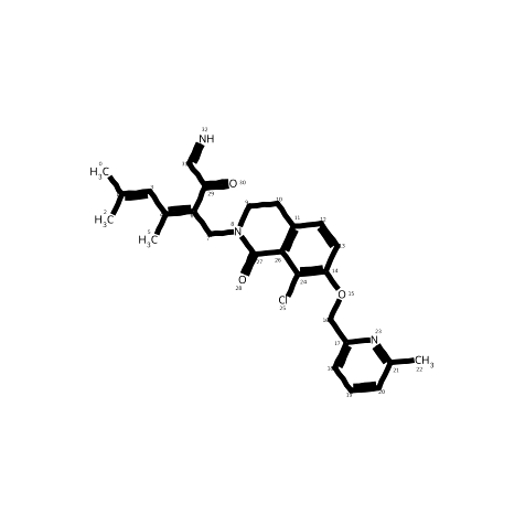 CC(C)=C/C(C)=C(/CN1CCc2ccc(OCc3cccc(C)n3)c(Cl)c2C1=O)C(=O)C=N